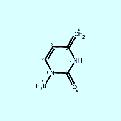 BN1C=CC(=C)NC1=O